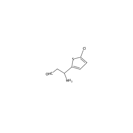 NC(CC=O)c1ccc(Cl)s1